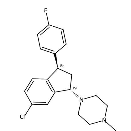 CN1CCN([C@H]2C[C@H](c3ccc(F)cc3)c3ccc(Cl)cc32)CC1